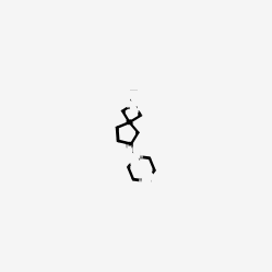 C1CN([C@@H]2CCC3(CNC3)C2)CCO1